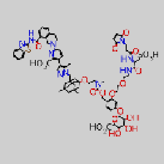 Cc1c(-c2ccc(N3CCc4cccc(C(=O)Nc5nc6ccccc6s5)c4C3)nc2C(=O)O)cnn1CC12CC3(C)CC(C)(C1)CC(OCCN(C)C(=O)OCc1ccc(O[C@@H]4O[C@H](C(=O)O)C(O)[C@H](O)C4O)cc1OCCOCCNC(=O)[C@H](CS(=O)(=O)O)NC(=O)CCN1C(=O)C=CC1=O)(C3)C2